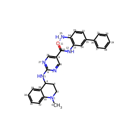 CN1CCC(Nc2ncc(C(=O)Nc3cc(-c4ccccc4)ccc3N)cn2)c2ccccc21